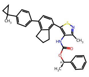 Cc1nsc(-c2ccc(-c3ccc(C4(C)CC4)cc3)c3c2CCC3)c1NC(=O)O[C@H](C)c1ccccc1